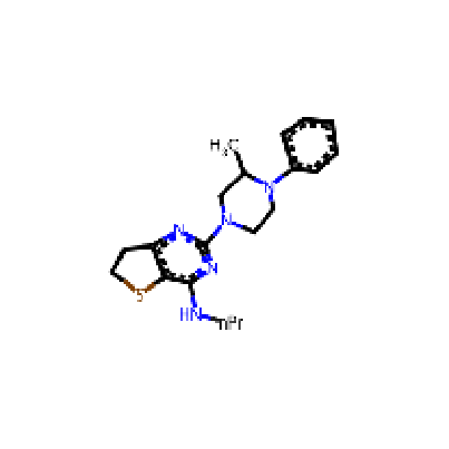 CCCNc1nc(N2CCN(c3ccccc3)C(C)C2)nc2c1SCC2